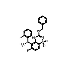 C[C@@H](c1ccccc1F)c1c(F)ccc2c1NC(NCc1ccccc1)=NS2(=O)=O